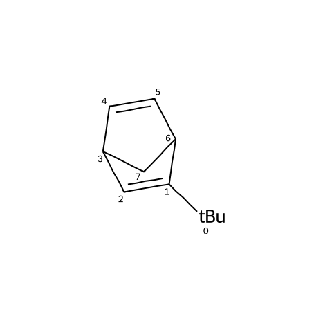 CC(C)(C)C1=CC2C=CC1C2